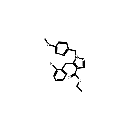 CCOC(=O)c1cnn(Cc2ccc(OC)cc2)c1Cc1ccccc1F